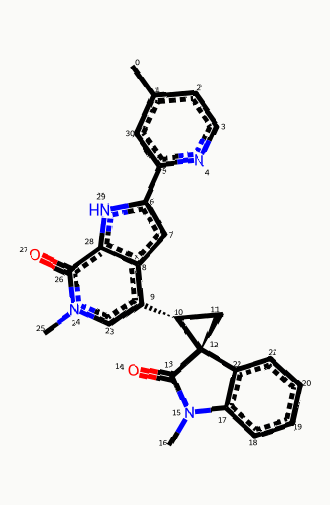 Cc1ccnc(-c2cc3c([C@@H]4C[C@@]45C(=O)N(C)c4ccccc45)cn(C)c(=O)c3[nH]2)c1